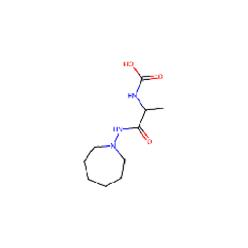 CC(NC(=O)O)C(=O)NN1CCCCCC1